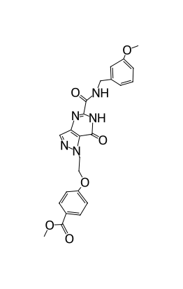 COC(=O)c1ccc(OCCn2ncc3nc(C(=O)NCc4cccc(OC)c4)[nH]c(=O)c32)cc1